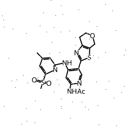 CC(=O)Nc1cc(Nc2cc(C)cc(S(C)(=O)=O)n2)c(-c2nc3c(s2)COCC3)cn1